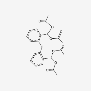 CC(=O)OI(OC(C)=O)c1ccccc1Oc1ccccc1I(OC(C)=O)OC(C)=O